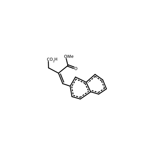 COC(=O)C(=Cc1ccc2ccccc2c1)CC(=O)O